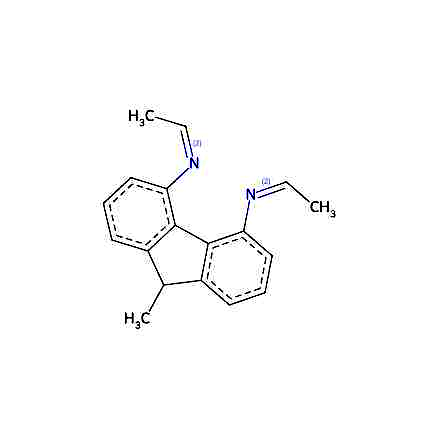 C/C=N\c1cccc2c1-c1c(/N=C\C)cccc1C2C